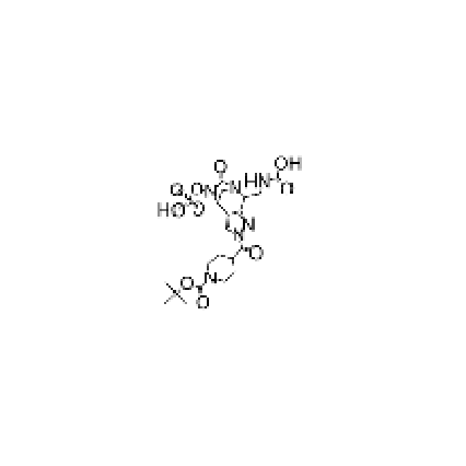 CC(C)(C)OC(=O)N1CCC(C(=O)n2cc3c(n2)C(CNC(=O)O)N2CC3N(OS(=O)(=O)O)C2=O)CC1